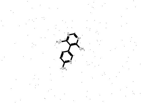 Cc1ccc(-c2c(C)ncnc2C)cn1